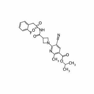 Cc1nc(N2CC(C(=O)NS(=O)(=O)Cc3ccccc3F)C2)c(C#N)cc1C(=O)OC(C)C